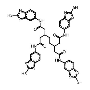 O=C(CC(CCC(CC(=O)Nc1ccc2nc(S)sc2c1)CC(=O)Nc1ccc2nc(S)sc2c1)CC(=O)Nc1ccc2nc(S)sc2c1)Nc1ccc2nc(S)sc2c1